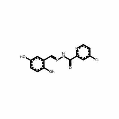 O=C(N/N=C/c1cc(O)ccc1O)c1cc(Cl)ccn1